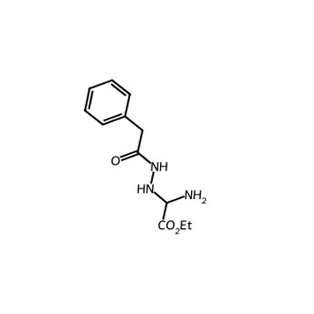 CCOC(=O)C(N)NNC(=O)Cc1ccccc1